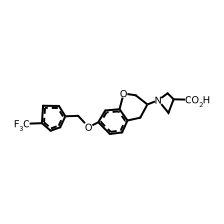 O=C(O)C1CN(C2COc3cc(OCc4ccc(C(F)(F)F)cc4)ccc3C2)C1